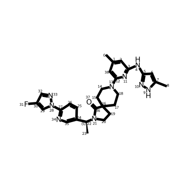 Cc1cc(Nc2cc(C)[nH]n2)nc(N2CCC3(CC2)CCN([C@@H](C)c2ccc(-n4cc(F)cn4)nc2)C3=O)c1